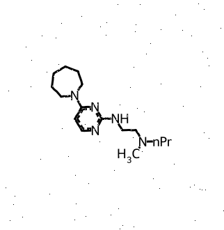 CCCN(C)CCNc1nccc(N2CCCCCC2)n1